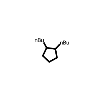 CCCC[C]1CCCC1CCCC